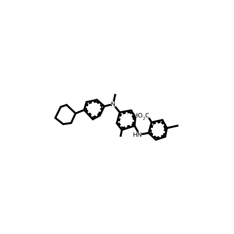 Cc1ccc(Nc2ccc(N(C)c3ccc(C4CCCCC4)cc3)cc2C)c(C(=O)O)c1